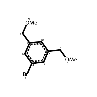 COCc1cc(Br)cc(COC)c1